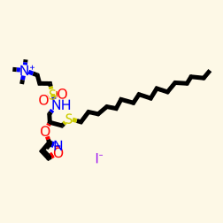 CCCCCCCCCCCCCCCCSCC(CNS(=O)(=O)CCC[N+](C)(C)C)Oc1ccon1.[I-]